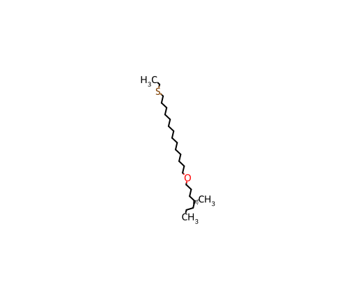 CCC[C@@H](C)CCCOCCCCCCCCCCCCCCSCC